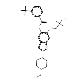 CC(C)(O)COc1cc2nn([C@H]3CC[C@H](CO)CC3)cc2cc1NC(=O)c1cccc(C(C)(F)F)n1